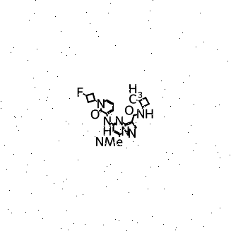 CNc1cc(Nc2cccn([C@H]3C[C@H](F)C3)c2=O)nc2c(C(=O)N[C@H]3CC[C@H]3C)cnn12